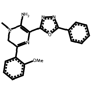 COc1ccccc1C1=NC(c2nnc(-c3ccccc3)o2)=C(N)N(C)C1